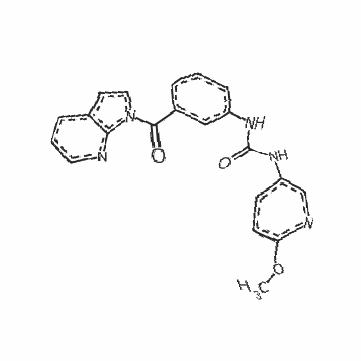 COc1ccc(NC(=O)Nc2cccc(C(=O)n3ccc4cccnc43)c2)cn1